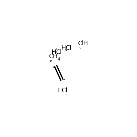 C.C=C.Cl.Cl.Cl.Cl